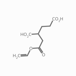 C=COC(=O)CC(CCC(=O)O)C(=O)O